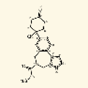 CC(C)(C)OC(=O)N1Cc2cc(C3(Cl)CCC(=O)CC3)ccc2-n2cnnc2C1